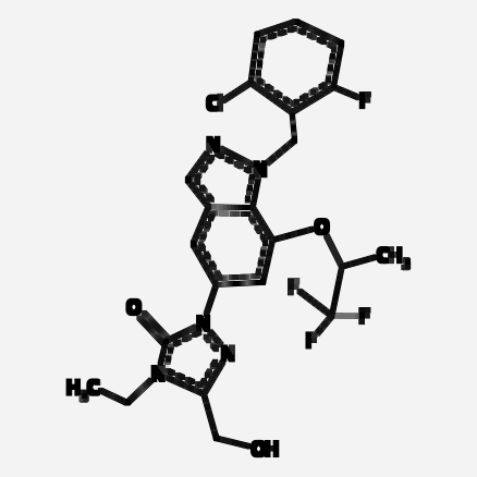 CCn1c(CO)nn(-c2cc(OC(C)C(F)(F)F)c3c(cnn3Cc3c(F)cccc3Cl)c2)c1=O